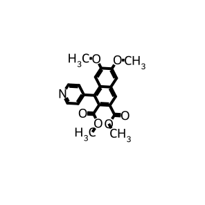 COC(=O)c1cc2cc(OC)c(OC)cc2c(-c2ccncc2)c1C(=O)OC